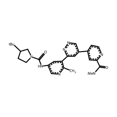 CNC(=O)c1cc(-c2cnnc(-c3cc(NC(=O)N4CCC(C(C)(C)C)C4)cnc3C)c2)ccn1